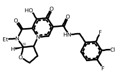 CCN1C(=O)c2c(O)c(=O)c(C(=O)NCc3ccc(F)c(Cl)c3F)cn2C2CCO[C@@H]21